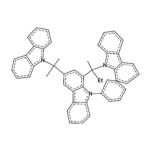 CCC(C)(c1cc(C(C)(C)n2c3ccccc3c3ccccc32)cc2c3ccccc3n(-c3ccccc3)c12)n1c2ccccc2c2ccccc21